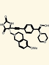 COc1ccc2c(c1)CCN(C[C@@]1(C#Cc3ccc(C(=NO)N4CCOCC4)cc3)NC(=O)NC1=O)C2